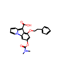 CN(C)C(=O)Oc1cc(OCCc2ccccc2)c2c(C(=O)O)c3ccccn3c2c1